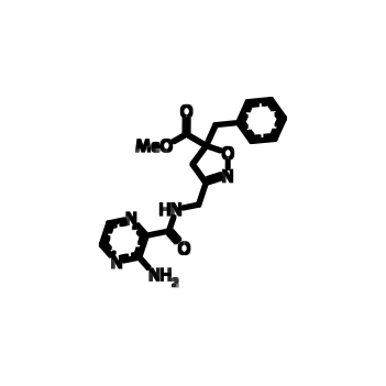 COC(=O)C1(Cc2ccccc2)CC(CNC(=O)c2nccnc2N)=NO1